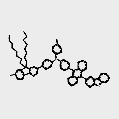 CCCCCCCCC1(CCCCCCCC)c2cc(C)ccc2-c2ccc(-c3ccc(N(c4ccc(C)cc4)c4ccc(-c5c6ccccc6c(-c6ccc7sc8ccccc8c7c6)c6ccccc56)cc4)cc3)cc21